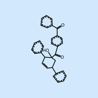 O=C(c1ccccc1)c1ccc(C(=O)C2(O)CC(c3ccccc3)C=CC2c2ccccc2)cc1